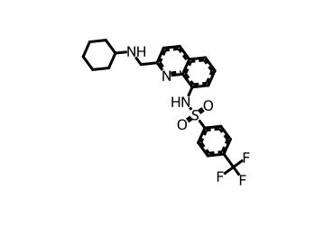 O=S(=O)(Nc1cccc2ccc(CNC3CCCCC3)nc12)c1ccc(C(F)(F)F)cc1